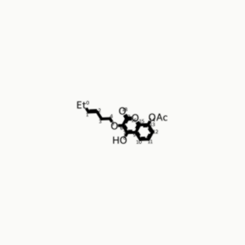 CC/C=C/CCOc1c(O)c2cccc(OC(C)=O)c2oc1=O